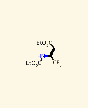 CCOC(=O)C=C(NC(=O)OCC)C(F)(F)F